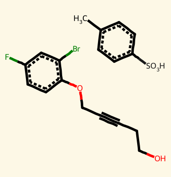 Cc1ccc(S(=O)(=O)O)cc1.OCCC#CCOc1ccc(F)cc1Br